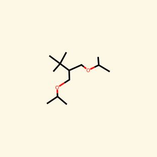 CC(C)OCC(COC(C)C)C(C)(C)C